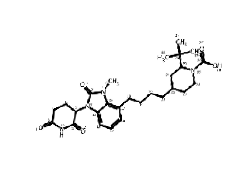 Cn1c(=O)n(C2CCC(=O)NC2=O)c2cccc(CCCCC3CCN(C(=O)O)C(C(C)(C)C)C3)c21